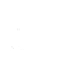 CCCCc1ccc(CC(N)=O)c(C)c1